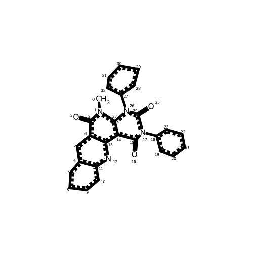 Cn1c(=O)c2cc3ccccc3nc2c2c(=O)n(-c3ccccc3)c(=O)n(-c3ccccc3)c21